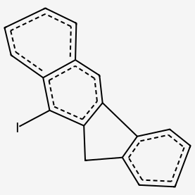 Ic1c2c(cc3ccccc13)-c1ccccc1C2